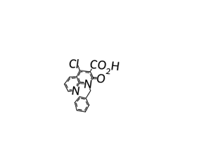 O=C(O)c1c(Cl)c2cccnc2n(Cc2ccccc2)c1=O